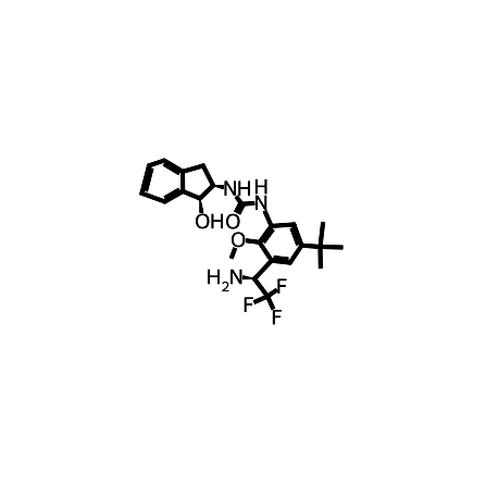 COc1c(NC(=O)N[C@@H]2Cc3ccccc3[C@@H]2O)cc(C(C)(C)C)cc1[C@H](N)C(F)(F)F